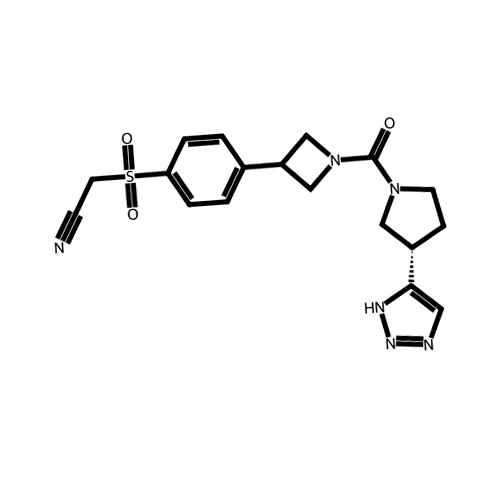 N#CCS(=O)(=O)c1ccc(C2CN(C(=O)N3CC[C@H](c4cnn[nH]4)C3)C2)cc1